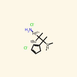 C[SiH](C)C(C)(C1=CC=CC1)[C](C)([Hf+2][NH2])C(C)(C)C.[Cl-].[Cl-]